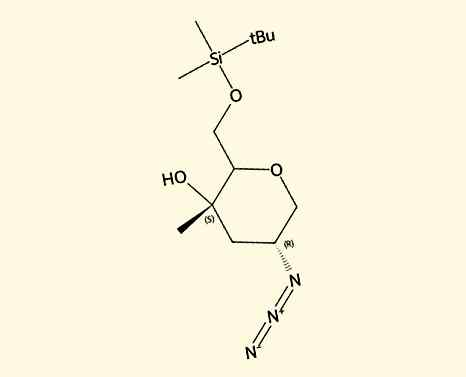 CC(C)(C)[Si](C)(C)OCC1OC[C@H](N=[N+]=[N-])C[C@]1(C)O